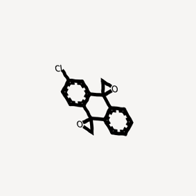 Clc1ccc2c(c1)C1(CO1)c1ccccc1C21CO1